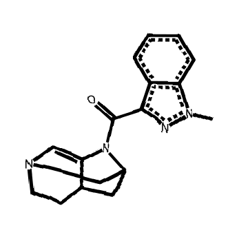 Cn1nc(C(=O)N2C3=CN4CCC3CC2C4)c2ccccc21